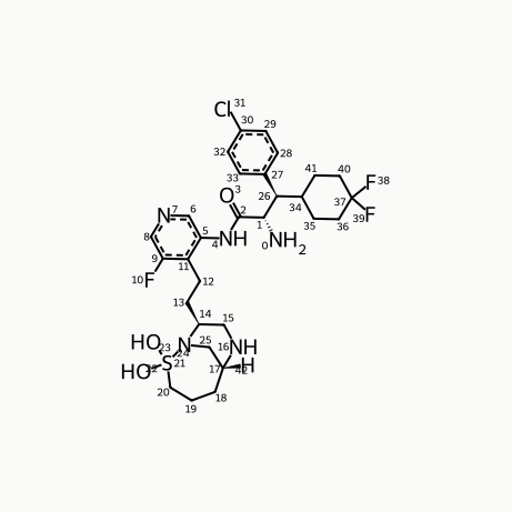 N[C@H](C(=O)Nc1cncc(F)c1CC[C@H]1CN[C@@H]2CCCS(O)(O)N1C2)[C@@H](c1ccc(Cl)cc1)C1CCC(F)(F)CC1